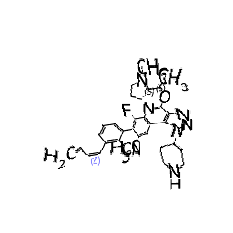 C=C/C=C\c1cccc(-c2c(C)cc3c(nc(O[C@@H](C)[C@@H]4CCCN4C)c4nnn(C5CCNCC5)c43)c2F)c1C#N